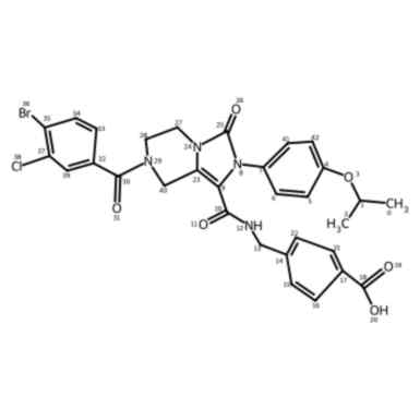 CC(C)Oc1ccc(-n2c(C(=O)NCc3ccc(C(=O)O)cc3)c3n(c2=O)CCN(C(=O)c2ccc(Br)c(Cl)c2)C3)cc1